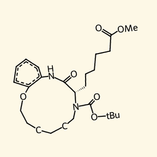 COC(=O)CCCCC[C@H]1C(=O)Nc2ccccc2OCCCCCCN1C(=O)OC(C)(C)C